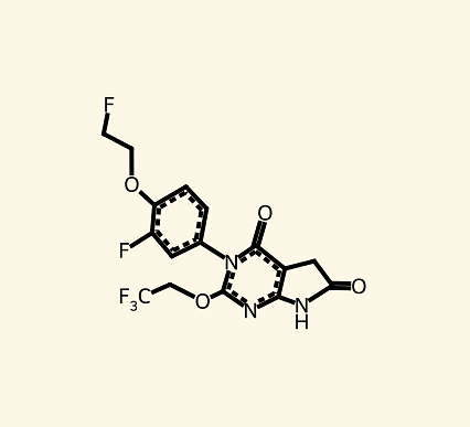 O=C1Cc2c(nc(OCC(F)(F)F)n(-c3ccc(OCCF)c(F)c3)c2=O)N1